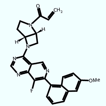 C=CC(=O)N1CC[C@@H]2[C@H]1CN2c1ncnc2c(F)c(-c3cccc4cc(OC)ccc34)ncc12